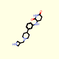 O=C1CCC(Nc2cccc(C3CCN(CC4CNC4)CC3)c2)C(=O)N1